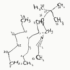 CC#N.CCCCCC.CCCCCC.COC(C)(C)C